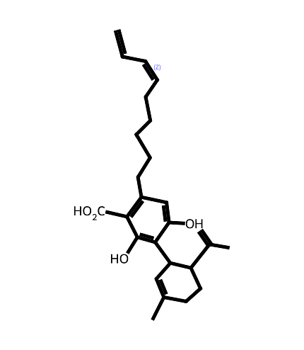 C=C/C=C\CCCCCc1cc(O)c(C2C=C(C)CCC2C(=C)C)c(O)c1C(=O)O